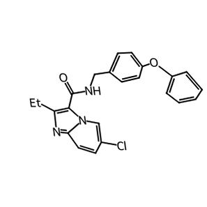 CCc1nc2ccc(Cl)cn2c1C(=O)NCc1ccc(Oc2ccccc2)cc1